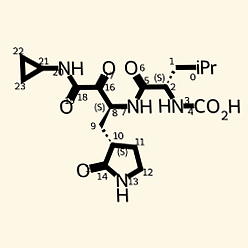 CC(C)C[C@H](NC(=O)O)C(=O)N[C@@H](C[C@@H]1CCNC1=O)C(=O)C(=O)NC1CC1